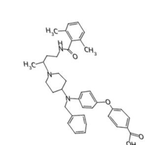 Cc1cccc(C)c1C(=O)NCCC(C)N1CCC(N(Cc2ccccc2)c2ccc(Oc3ccc(C(=O)O)cc3)cc2)CC1